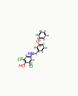 Oc1c(Cl)cc(NCc2cccc(Oc3ccccc3)c2)cc1Cl